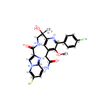 CCOc1c(CC(N)=O)cc([C@@](O)(CNC(=O)c2cn3cc(F)ccc3n2)C(F)(F)F)nc1-c1ccc(F)cc1